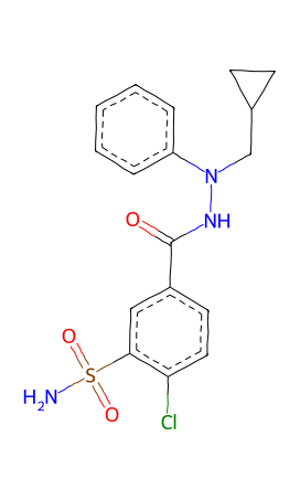 NS(=O)(=O)c1cc(C(=O)NN(CC2CC2)c2ccccc2)ccc1Cl